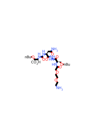 CCCCOC[C@H](NC(=O)N[C@@H](CC(N)=O)C(=O)NNC(=O)[C@H](COCCCC)NC(=O)COCCOCCN)C(=O)O